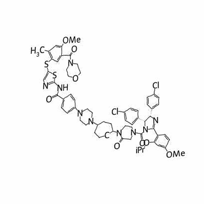 COc1ccc(C2=N[C@@H](c3ccc(Cl)cc3)[C@@H](c3ccc(Cl)cc3)N2C(=O)N2CCN(C3CCCC(N4CCN(c5ccc(C(=O)Nc6ncc(Sc7cc(C(=O)N8CCOCC8)c(OC)cc7C)s6)cc5)CC4)CC3)C(=O)C2)c(OC(C)C)c1